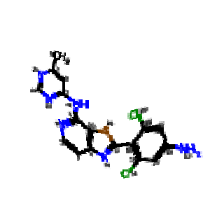 Cc1cc(Nc2nccc3nc(-c4c(Cl)cc(N)cc4Cl)sc23)ncn1